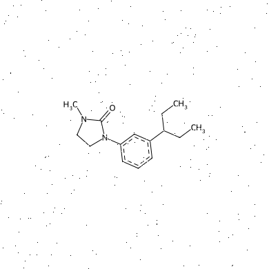 CCC(CC)c1cccc(N2CCN(C)C2=O)c1